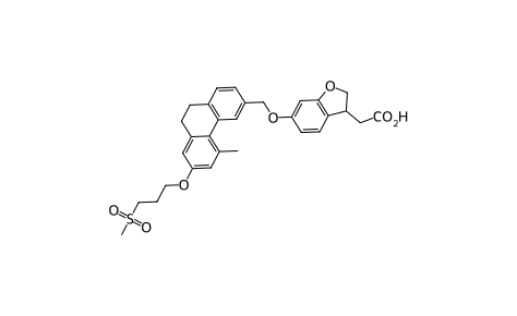 Cc1cc(OCCCS(C)(=O)=O)cc2c1-c1cc(COc3ccc4c(c3)OCC4CC(=O)O)ccc1CC2